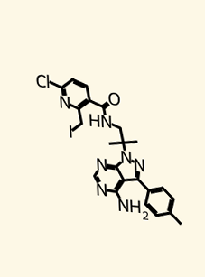 Cc1ccc(-c2nn(C(C)(C)CNC(=O)c3ccc(Cl)nc3CI)c3ncnc(N)c23)cc1